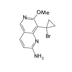 COc1ncc2ccc(N)nc2c1C1(Br)CC1